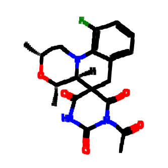 CC(=O)N1C(=O)NC(=O)C2(Cc3cccc(F)c3N3C[C@@H](C)O[C@@H](C)[C@@H]32)C1=O